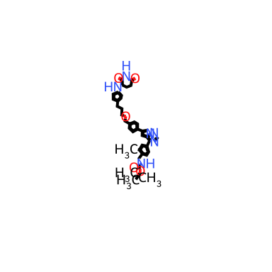 Cc1cc(-c2ncnn3cc(-c4ccc(COCCCc5ccc(NC6CCC(=O)NC6=O)cc5)cc4)cc23)ccc1CNC(=O)OC(C)(C)C